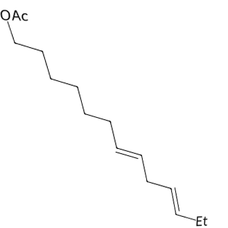 CCC=CCC=CCCCCCCOC(C)=O